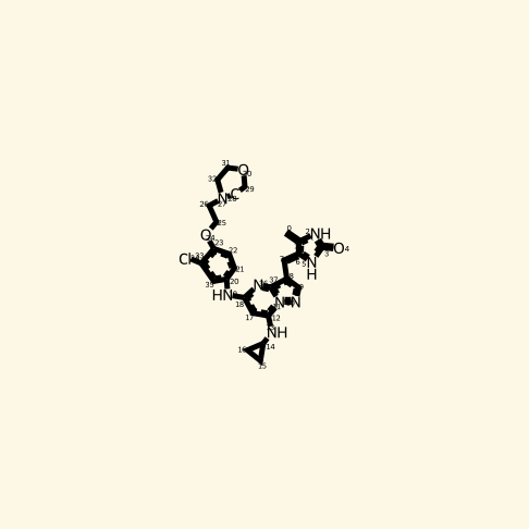 C=c1[nH]c(=O)[nH]/c1=C\c1cnn2c(NC3CC3)cc(Nc3ccc(OCCN4CCOCC4)c(Cl)c3)nc12